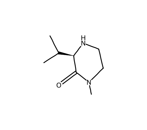 CC(C)[C@H]1NCCN(C)C1=O